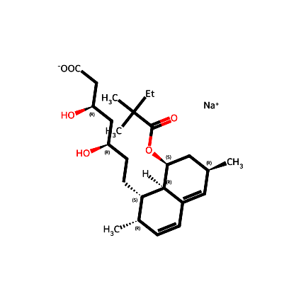 CCC(C)(C)C(=O)O[C@H]1C[C@@H](C)C=C2C=C[C@H](C)[C@H](CC[C@@H](O)C[C@@H](O)CC(=O)[O-])[C@H]21.[Na+]